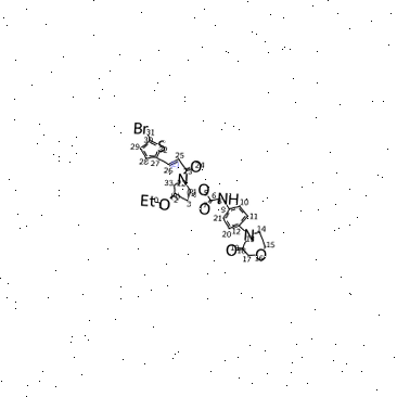 CCO[C@@H]1C[C@@H](OC(=O)Nc2ccc(N3CCOCC3=O)cc2)N(C(=O)/C=C/c2ccc(Br)s2)C1